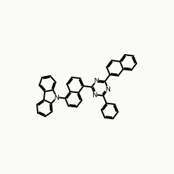 c1ccc(-c2nc(-c3ccc4ccccc4c3)nc(-c3cccc4c(-n5c6ccccc6c6ccccc65)cccc34)n2)cc1